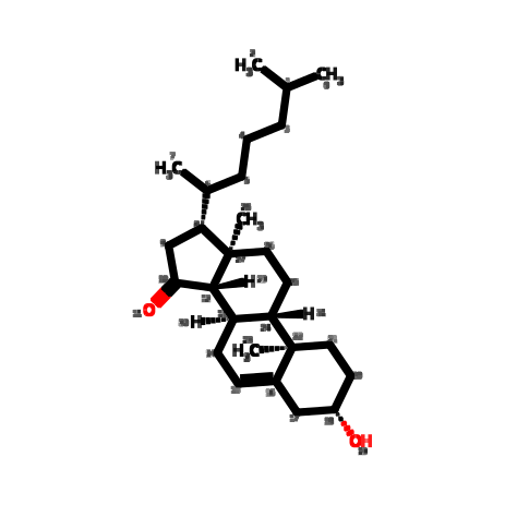 CC(C)CCCC(C)[C@H]1CC(=O)[C@H]2[C@@H]3CC=C4C[C@@H](O)CC[C@]4(C)[C@H]3CC[C@]12C